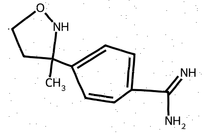 CC1(c2ccc(C(=N)N)cc2)C[CH]ON1